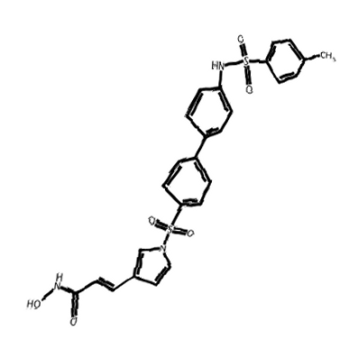 Cc1ccc(S(=O)(=O)Nc2ccc(-c3ccc(S(=O)(=O)n4ccc(C=CC(=O)NO)c4)cc3)cc2)cc1